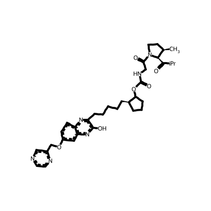 CC(C)C(=O)[C@@H]1[C@H](C)CCN1C(=O)CNC(=O)OC1CCC[C@H]1CCCCCc1nc2ccc(OCc3cnccn3)cc2nc1O